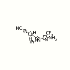 CC(C)n1nc(-c2cnc(N)c(C(F)(F)F)c2)cc1[C@H]1[C@@H]2CC(N3CC(C#N)C3)C[C@@H]21